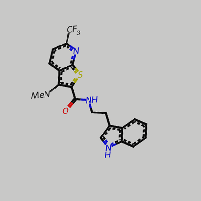 CNc1c(C(=O)NCCc2c[nH]c3ccccc23)sc2nc(C(F)(F)F)ccc12